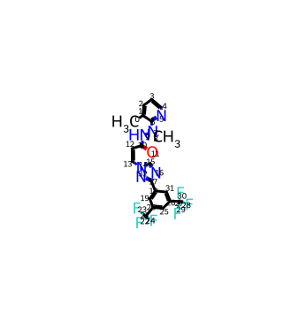 Cc1cccnc1N(C)NC(=O)/C=C\n1cnc(-c2cc(C(F)(F)F)cc(C(F)(F)F)c2)n1